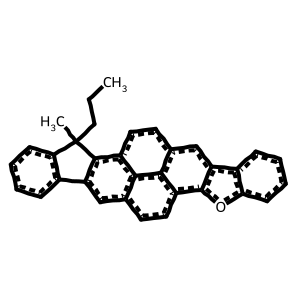 CCCC1(C)c2ccccc2-c2cc3ccc4c5oc6ccccc6c5cc5ccc(c21)c3c54